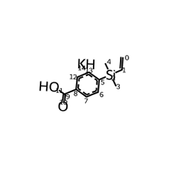 C=C[Si](C)(C)c1ccc(C(=O)O)cc1.[KH]